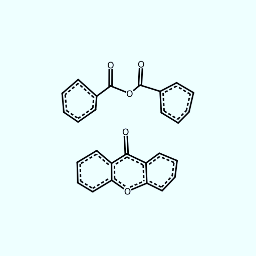 O=C(OC(=O)c1ccccc1)c1ccccc1.O=c1c2ccccc2oc2ccccc12